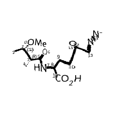 CO[C@@H](C)[C@@H](C)C(=O)NC(CCC(=O)C=[N+]=[N-])C(=O)O